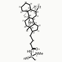 CCCS(C)(NC)NC(=O)CCCC1CCC2C3C[C@H](CC)[C@@H]4CCCC[C@]4(C)[C@@]3(N)CCC12C